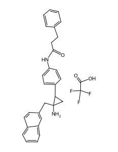 NC1(Cc2ccc3ccccc3c2)CC1c1ccc(NC(=O)CCc2ccccc2)cc1.O=C(O)C(F)(F)F